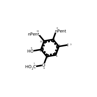 CCCCCc1c(I)cc(OC(=O)O)c(O)c1CCCCC